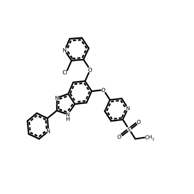 CCS(=O)(=O)c1ccc(Oc2cc3[nH]c(-c4ccccn4)nc3cc2Oc2cccnc2Cl)cn1